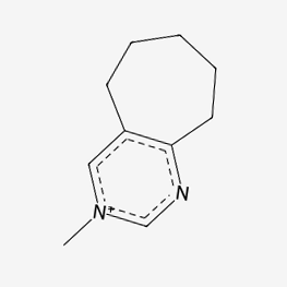 C[n+]1cnc2c(c1)CCCCC2